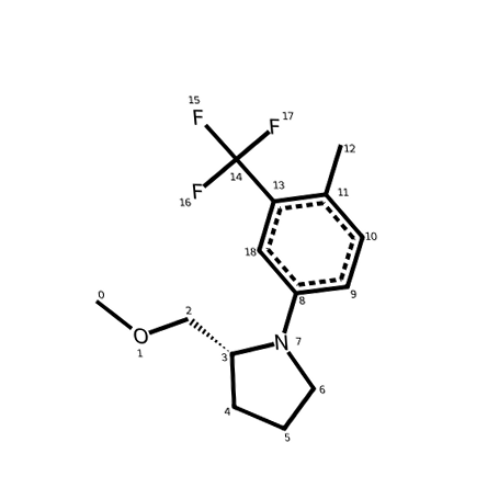 COC[C@H]1CCCN1c1ccc(C)c(C(F)(F)F)c1